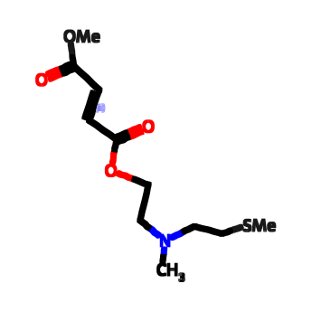 COC(=O)/C=C/C(=O)OCCN(C)CCSC